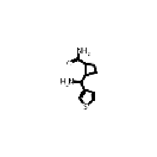 NC(=O)C1CCC1C(N)c1ccsc1